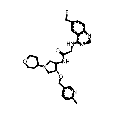 Cc1ccc(CO[C@H]2CN(C3CCOCC3)CC2NC(=O)CNc2ncnc3ccc(CF)cc23)cn1